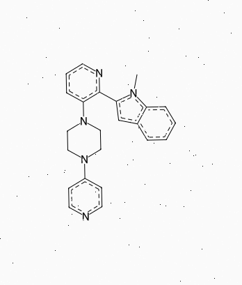 Cn1c(-c2ncccc2N2CCN(c3ccncc3)CC2)cc2ccccc21